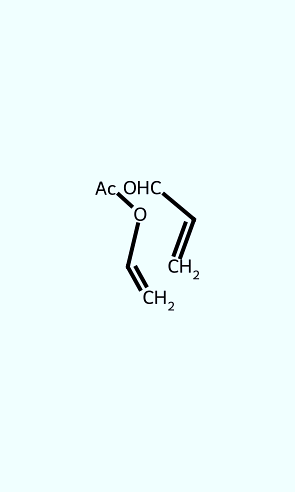 C=CC=O.C=COC(C)=O